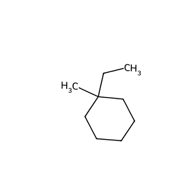 CCC1(C)CCCCC1